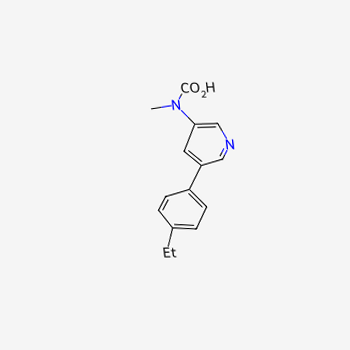 CCc1ccc(-c2cncc(N(C)C(=O)O)c2)cc1